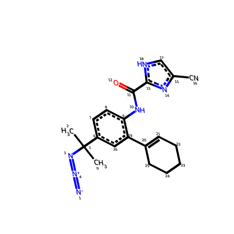 CC(C)(N=[N+]=[N-])c1ccc(NC(=O)c2nc(C#N)c[nH]2)c(C2=CCCCC2)c1